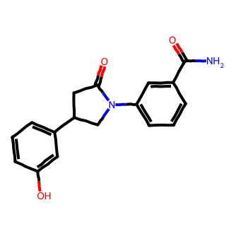 NC(=O)c1cccc(N2CC(c3cccc(O)c3)CC2=O)c1